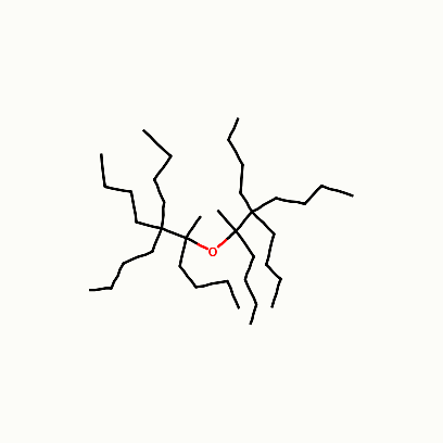 CCCCC(CCCC)(CCCC)C(C)(CCCC)OC(C)(CCCC)C(CCCC)(CCCC)CCCC